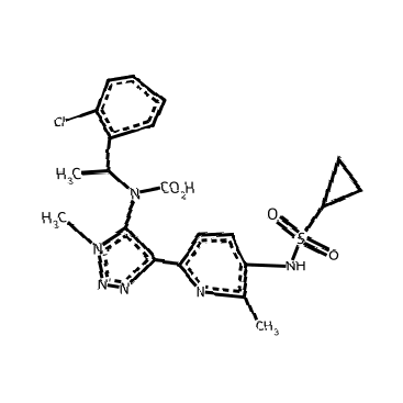 Cc1nc(-c2nnn(C)c2N(C(=O)O)C(C)c2ccccc2Cl)ccc1NS(=O)(=O)C1CC1